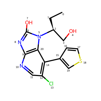 CC[C@@H](CO)n1c(O)nc2ncc(Cl)c(-c3ccsc3)c21